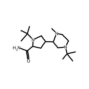 CN1CCN(C(C)(C)C)CC1C1CC(C(N)=O)N(C(C)(C)C)C1